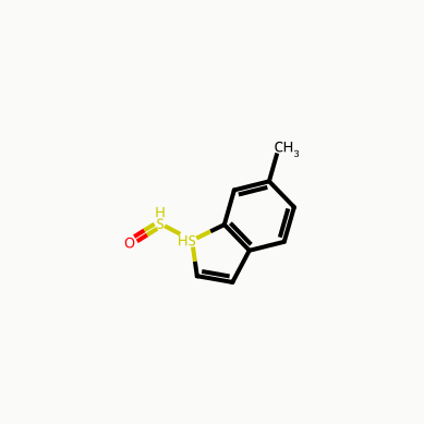 Cc1ccc2c(c1)[SH]([SH]=O)C=C2